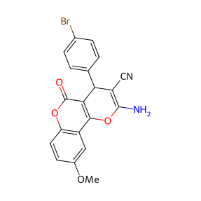 COc1ccc2oc(=O)c3c(c2c1)OC(N)=C(C#N)C3c1ccc(Br)cc1